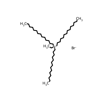 CCCCCCCCCCCCCC[N+](CC)(CCCCCCCCCCCCCC)CCCCCCCCCCCCCC.[Br-]